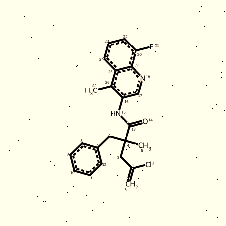 C=C(Cl)CC(C)(Cc1ccccc1)C(=O)Nc1cnc2c(F)cccc2c1C